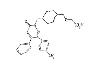 Cc1ccc(-c2nn(C[C@H]3CC[C@H](COCC(=O)O)CC3)c(=O)cc2-c2ccccc2)cc1